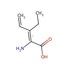 C=C/C(CC)=C(\N)C(=O)O